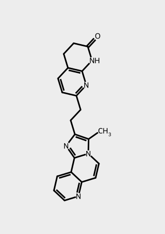 Cc1c(CCc2ccc3c(n2)NC(=O)CC3)nc2c3cccnc3ccn12